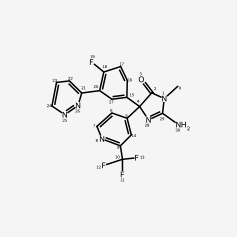 CN1C(=O)C(c2ccnc(C(F)(F)F)c2)(c2ccc(F)c(-c3cccnn3)c2)N=C1N